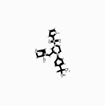 CC(O)(c1ccc(N2CCN(S(=O)(=O)c3cccs3)CC2CN2CC3C[C@@H]2CO3)cc1)C(F)(F)F